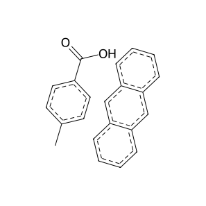 Cc1ccc(C(=O)O)cc1.c1ccc2cc3ccccc3cc2c1